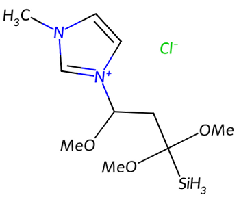 COC(CC([SiH3])(OC)OC)[n+]1ccn(C)c1.[Cl-]